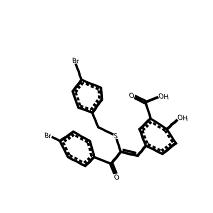 O=C(C(=Cc1ccc(O)c(C(=O)O)c1)SCc1ccc(Br)cc1)c1ccc(Br)cc1